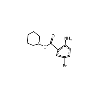 Nc1ccc(Br)cc1C(=O)ON1CCCCC1